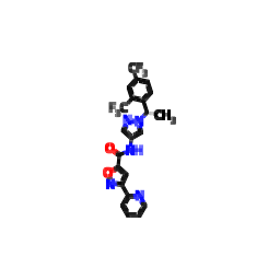 C[C@@H](c1ccc(C(F)(F)F)cc1C(F)(F)F)n1cc(NC(=O)c2cc(-c3ccccn3)no2)cn1